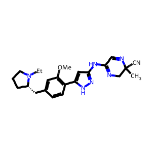 CCN1CCC[C@H]1Cc1ccc(-c2cc(NC3=NCC(C)(C#N)N=C3)n[nH]2)c(OC)c1